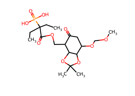 CCC(CC)(C(=O)OCC1C(=O)CC(OCOC)C2OC(C)(C)OC12)P(=O)(O)O